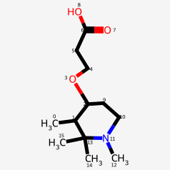 CC1C(OCCC(=O)O)CCN(C)C1(C)C